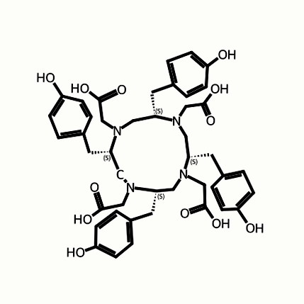 O=C(O)CN1C[C@H](Cc2ccc(O)cc2)N(CC(=O)O)C[C@H](Cc2ccc(O)cc2)N(CC(=O)O)C[C@H](Cc2ccc(O)cc2)N(CC(=O)O)C[C@@H]1Cc1ccc(O)cc1